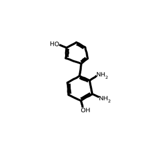 Nc1c(O)ccc(-c2cccc(O)c2)c1N